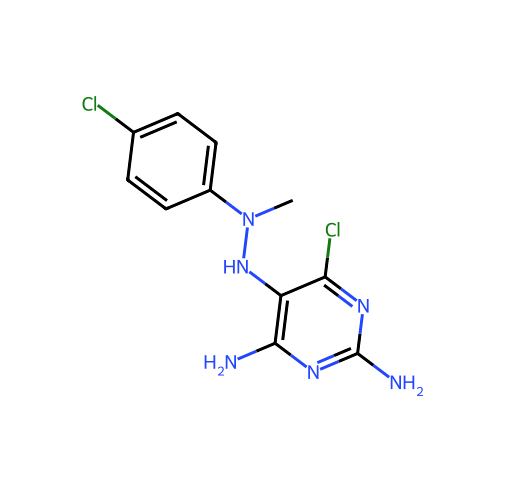 CN(Nc1c(N)nc(N)nc1Cl)c1ccc(Cl)cc1